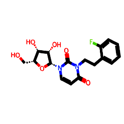 O=c1ccn([C@@H]2O[C@H](CO)[C@H](O)[C@@H]2O)c(=O)n1CCc1ccccc1F